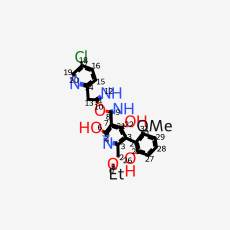 CCOCc1nc(O)c(C(=N)OC(=N)Cc2ccc(Cl)cn2)c(O)c1-c1c(O)cccc1OC